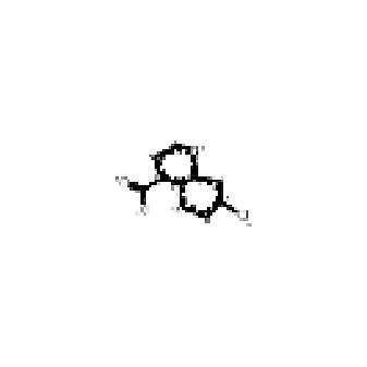 O=C(Cl)c1ccnc2cc(Cl)ccc12